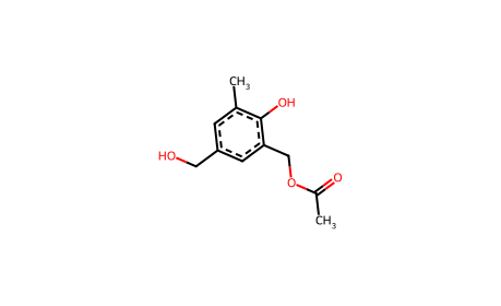 CC(=O)OCc1cc(CO)cc(C)c1O